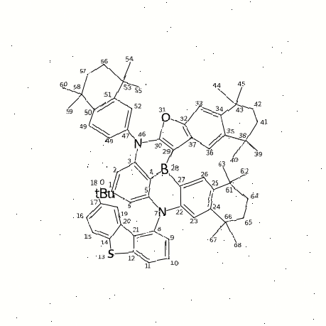 Cc1cc2c3c(c1)N(c1cccc4sc5ccc(C(C)(C)C)cc5c14)c1cc4c(cc1B3c1c(oc3cc5c(cc13)C(C)(C)CCC5(C)C)N2c1ccc2c(c1)C(C)(C)CCC2(C)C)C(C)(C)CCC4(C)C